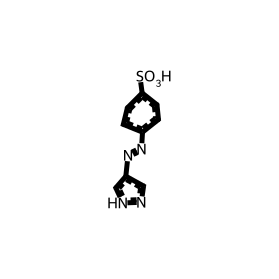 O=S(=O)(O)c1ccc(N=Nc2cn[nH]c2)cc1